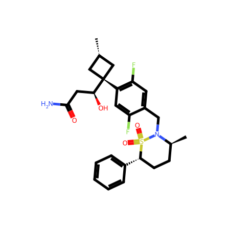 C[C@H]1CC[C@H](c2ccccc2)S(=O)(=O)N1Cc1cc(F)c([C@]2([C@@H](O)CC(N)=O)C[C@@H](C)C2)cc1F